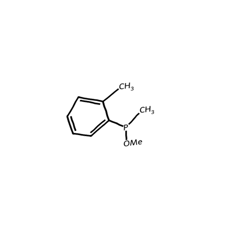 COP(C)c1ccccc1C